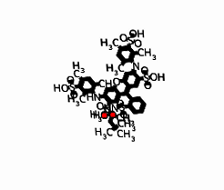 Cc1cc(C)c(S(=O)(=O)O)c(C)c1/N=c1\cc2oc3cc(Nc4c(C)cc(C)c(S(=O)(=O)O)c4C)c(S(=O)(=O)O)cc3c(-c3ccccc3S(=O)(=O)NC(C)(C)CC(C)(C)C)c-2cc1S(=O)(=O)O